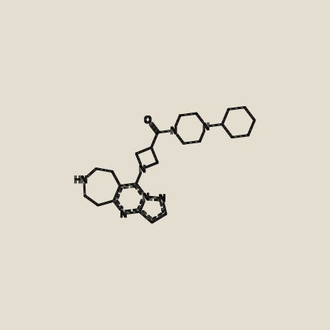 O=C(C1CN(c2c3c(nc4ccnn24)CCNCC3)C1)N1CCN(C2CCCCC2)CC1